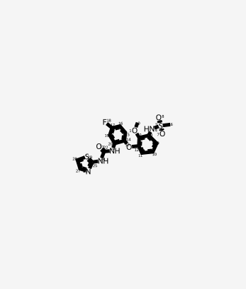 COc1c(NS(C)(=O)=O)cccc1Oc1ccc(F)cc1NC(=O)Nc1nccs1